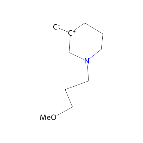 [CH2-][C+]1CCCN(CCCOC)C1